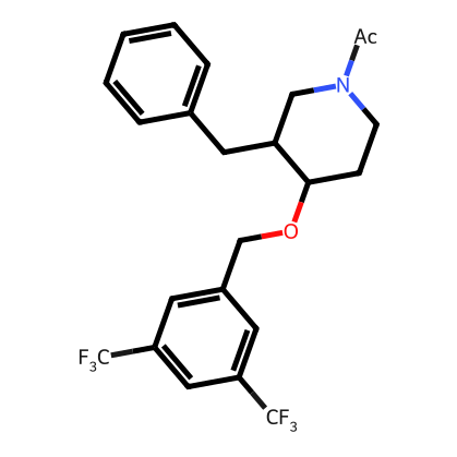 CC(=O)N1CCC(OCc2cc(C(F)(F)F)cc(C(F)(F)F)c2)C(Cc2ccccc2)C1